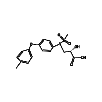 Cc1ccc(Oc2ccc(N(C[C@H](O)C(=O)O)S(C)(=O)=O)cc2)cc1